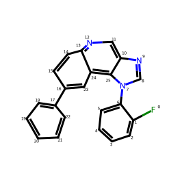 Fc1ccccc1-n1cnc2cnc3ccc(-c4ccccc4)cc3c21